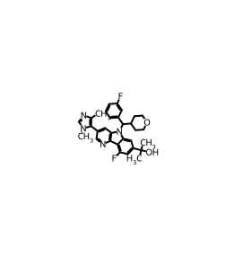 Cc1ncn(C)c1-c1cnc2c3c(F)cc(C(C)(C)O)cc3n(C(c3cccc(F)c3)C3CCOCC3)c2c1